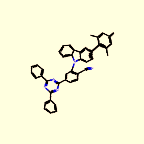 Cc1cc(C)c(-c2ccc3c(c2)c2ccccc2n3-c2cc(-c3nc(-c4ccccc4)nc(-c4ccccc4)n3)ccc2C#N)c(C)c1